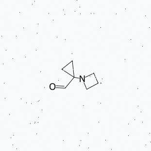 O=CC1(N2C[CH]C2)CC1